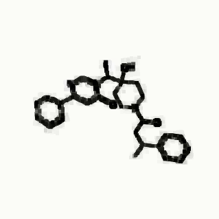 CC(CC(=O)N1CCC(O)([C@H](C)n2cnc(-c3ccccc3)cc2=O)CC1)c1ccccc1